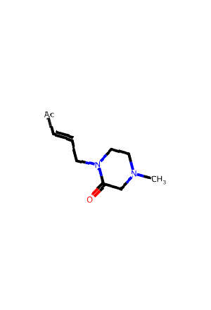 CC(=O)/C=C/CN1CCN(C)CC1=O